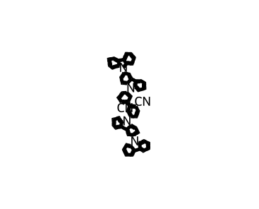 N#Cc1ccc(-n2c3ccccc3c3cc(-n4c5ccccc5c5ccccc54)ccc32)cc1-c1cc(-n2c3ccccc3c3cc(-n4c5ccccc5c5ccccc54)ccc32)ccc1C#N